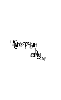 C[N+]1(C)CCC(OC(=O)Nc2ccc(CCCC(=O)Nc3ccc(CNC[C@@H](O)c4ccc(O)c5[nH]c(=O)ccc45)cc3)cc2-c2ccccc2)CC1